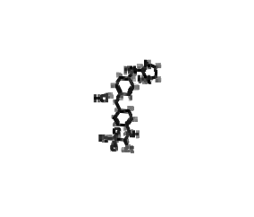 CCC(Nc1ccc(Cc2ccc(NC3=NCCN3)cc2)cc1)S(=O)(=O)CC.Cl